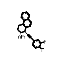 CCC[C@@H]1CCc2c(ccc3ccccc23)[C@H]1C#Cc1ccc(F)c(F)c1